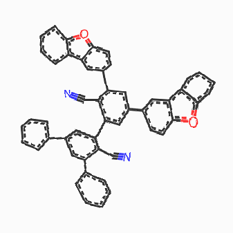 N#Cc1c(-c2ccccc2)cc(-c2ccccc2)cc1-c1cc(-c2ccc3oc4ccccc4c3c2)cc(-c2ccc3oc4ccccc4c3c2)c1C#N